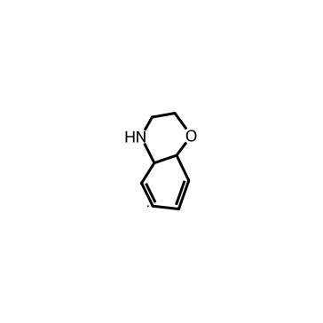 [C]1=CC2NCCOC2C=C1